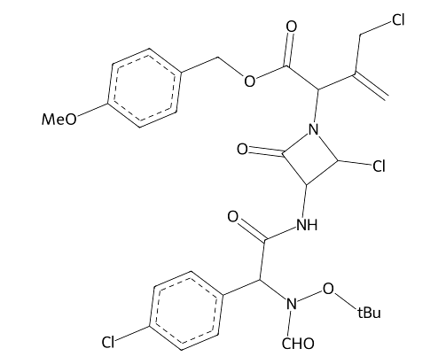 C=C(CCl)C(C(=O)OCc1ccc(OC)cc1)N1C(=O)C(NC(=O)C(c2ccc(Cl)cc2)N(C=O)OC(C)(C)C)C1Cl